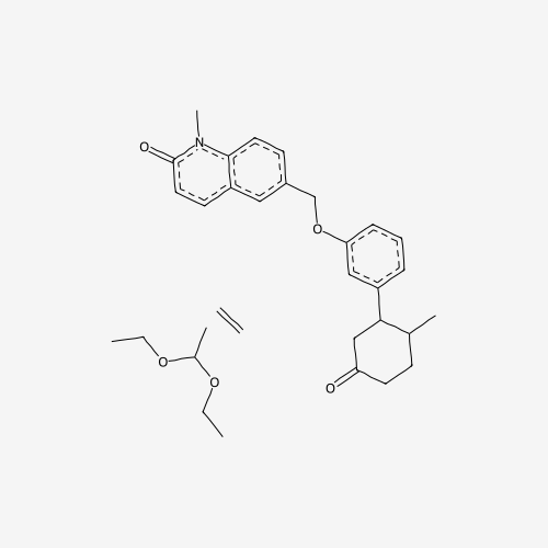 C=C.CC1CCC(=O)CC1c1cccc(OCc2ccc3c(ccc(=O)n3C)c2)c1.CCOC(C)OCC